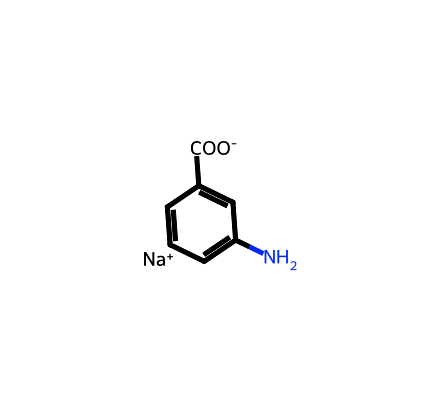 Nc1cccc(C(=O)[O-])c1.[Na+]